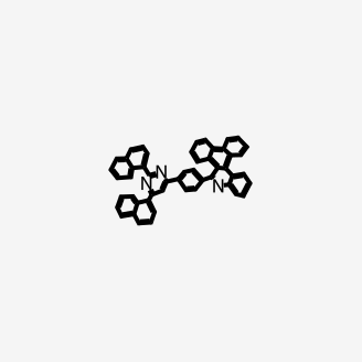 c1ccc2c(-c3cc(-c4ccc(-c5nc6ccccc6c6c7ccccc7c7ccccc7c56)cc4)nc(-c4cccc5ccccc45)n3)cccc2c1